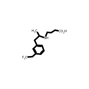 CC(Cc1cccc(CC(F)(F)F)c1)NCCCC(=O)O